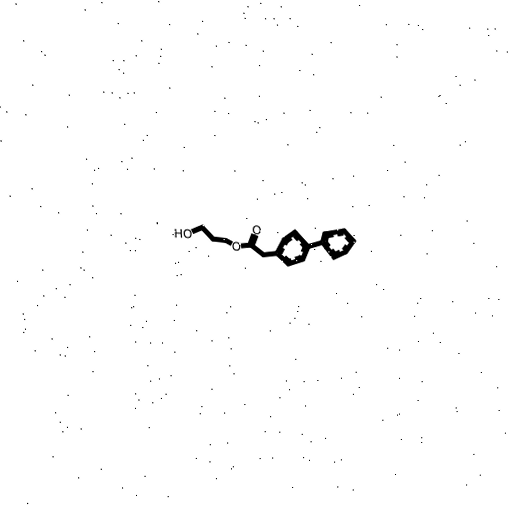 O=C(Cc1ccc(-c2ccccc2)cc1)OCCCO